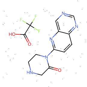 O=C(O)C(F)(F)F.O=C1CNCCN1c1ccc2ncncc2n1